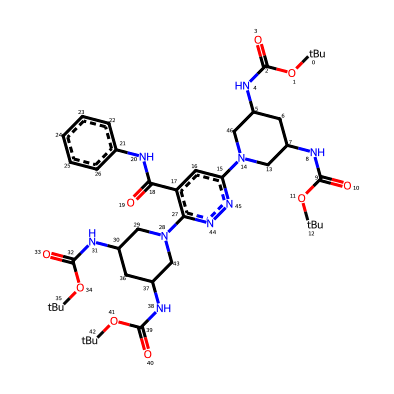 CC(C)(C)OC(=O)NC1CC(NC(=O)OC(C)(C)C)CN(c2cc(C(=O)Nc3ccccc3)c(N3CC(NC(=O)OC(C)(C)C)CC(NC(=O)OC(C)(C)C)C3)nn2)C1